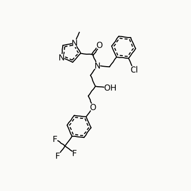 Cn1cncc1C(=O)N(Cc1ccccc1Cl)CC(O)COc1ccc(C(F)(F)F)cc1